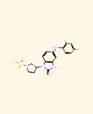 CCS(=O)(=O)N1CCC(n2c(=O)[nH]c3cc(Nc4ccc(F)cc4F)ccc32)C1